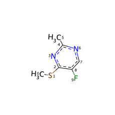 CSc1nc(C)ncc1F